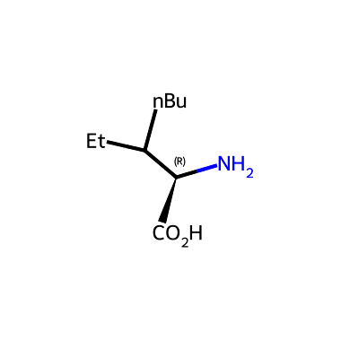 CCCCC(CC)[C@@H](N)C(=O)O